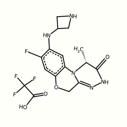 C[C@@H]1C(=O)NN=C2COc3cc(F)c(NC4CNC4)cc3N21.O=C(O)C(F)(F)F